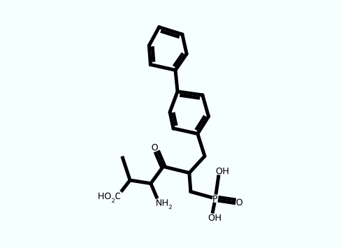 CC(C(=O)O)C(N)C(=O)C(Cc1ccc(-c2ccccc2)cc1)CP(=O)(O)O